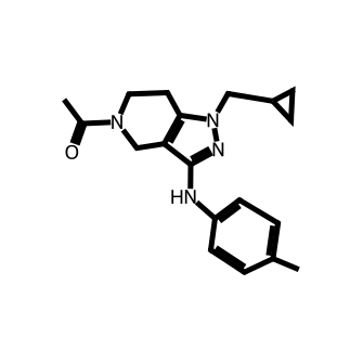 CC(=O)N1CCc2c(c(Nc3ccc(C)cc3)nn2CC2CC2)C1